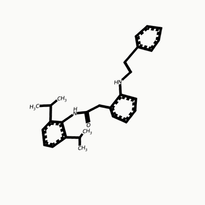 CC(C)c1cccc(C(C)C)c1NC(=O)Cc1ccccc1NCCc1ccccc1